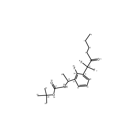 CCCCC(=O)C(F)(F)c1cccc(C(C)NC(=O)OC(C)(C)C)c1F